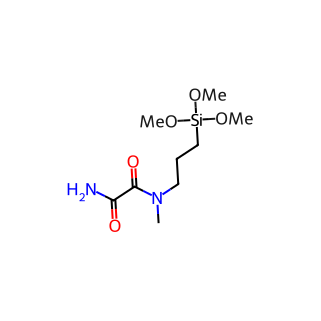 CO[Si](CCCN(C)C(=O)C(N)=O)(OC)OC